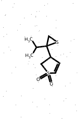 CC(C)C1(C2C=CS(=O)(=O)C2)CS1